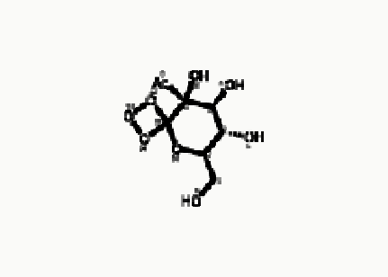 CC(=O)[C@@]1(O)[C@@H](O)[C@H](O)[C@@H](CO)OC12OOO2